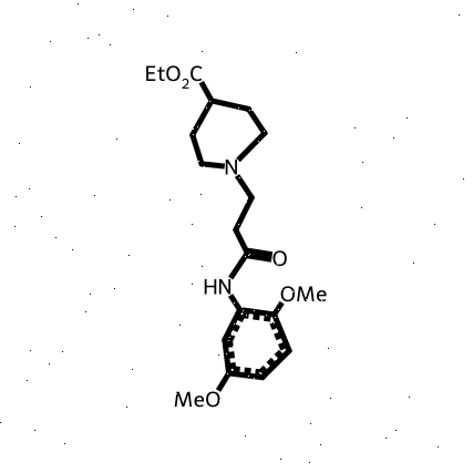 CCOC(=O)C1CCN(CCC(=O)Nc2cc(OC)ccc2OC)CC1